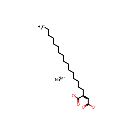 CCCCCCCCCCCCCCCC/C(=C/C(=O)[O-])C(=O)[O-].[Na+].[Na+]